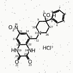 Cl.O=C(O)C1(c2ccccc2)CCN(Cc2cc([N+](=O)[O-])cc3[nH]c(=O)c(=O)[nH]c23)CC1